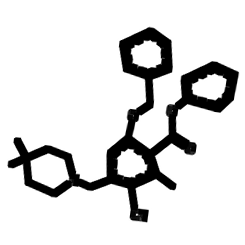 Cc1c(C#N)c(CN2CCC(C)(C)CC2)cc(OCc2ccccc2)c1C(=O)Oc1ccccc1